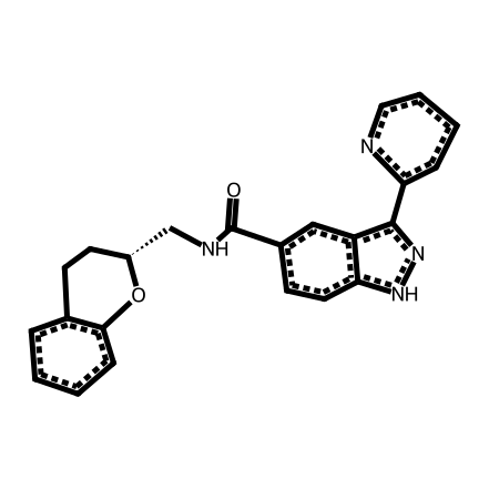 O=C(NC[C@H]1CCc2ccccc2O1)c1ccc2[nH]nc(-c3ccccn3)c2c1